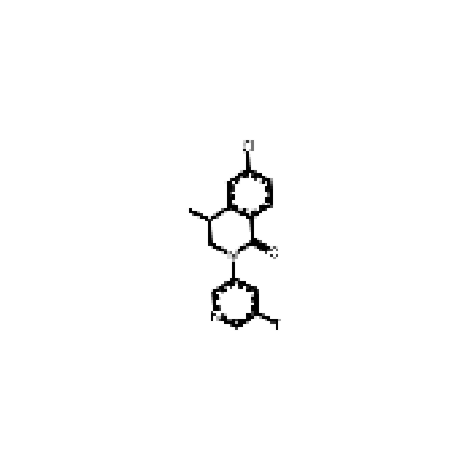 CC1CN(c2cncc(F)c2)C(=O)c2ccc(Cl)cc21